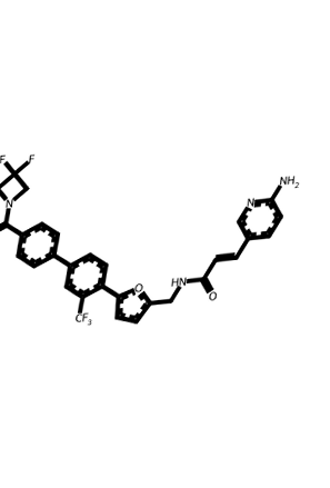 Nc1ccc(/C=C/C(=O)NCc2ccc(-c3ccc(-c4ccc(C(=O)N5CC(F)(F)C5)cc4)cc3C(F)(F)F)o2)cn1